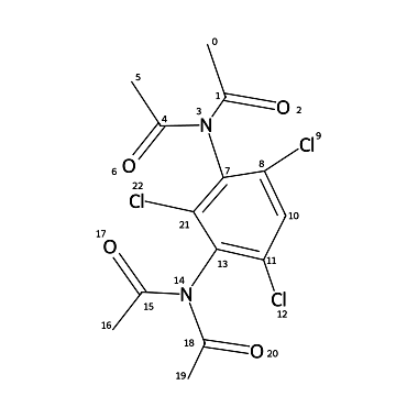 CC(=O)N(C(C)=O)c1c(Cl)cc(Cl)c(N(C(C)=O)C(C)=O)c1Cl